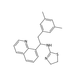 Cc1cc(C)cc(CC(NC2=NCCS2)c2cccc3cccnc23)c1